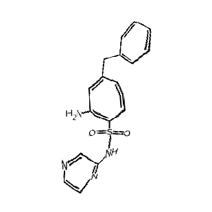 Nc1cc(Cc2ccccc2)ccc1S(=O)(=O)Nc1cnccn1